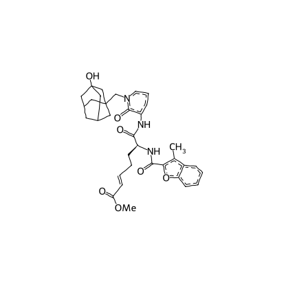 COC(=O)/C=C/CC[C@H](NC(=O)c1oc2ccccc2c1C)C(=O)Nc1cccn(CC23CC4CC(CC(O)(C4)C2)C3)c1=O